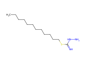 CCCCCCCCCCCCSC(=N)NN